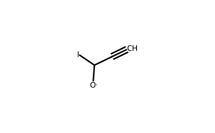 C#CC([O])I